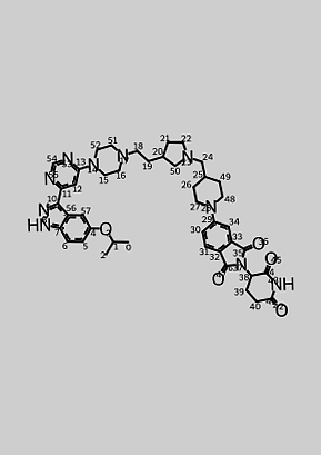 CC(C)Oc1ccc2[nH]nc(-c3cc(N4CCN(CCC5CCN(CC6CCN(c7ccc8c(c7)C(=O)N(C7CCC(=O)NC7=O)C8=O)CC6)C5)CC4)ncn3)c2c1